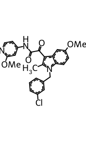 COc1ccc2c(c1)c(C(=O)C(=O)Nc1ccnc(OC)c1)c(C)n2Cc1cccc(Cl)c1